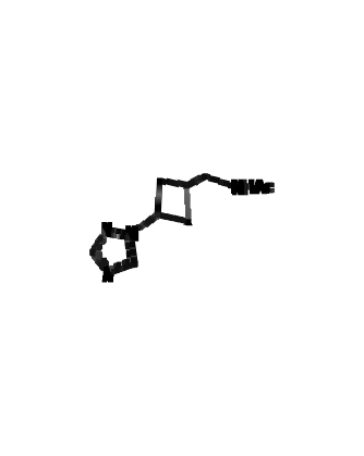 CC(=O)NCC1CC(n2cncn2)C1